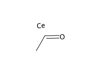 CC=O.[Ce]